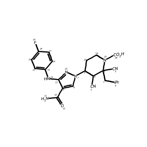 CC(C)CC1(C#N)C(C#N)C(n2cc(C(N)=O)c(Nc3ccc(F)cc3)n2)CCN1C(=O)O